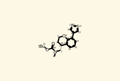 CN(C[C@@H]1CCOc2c(-c3cnsc3)cccc21)C(=O)OC(C)(C)C